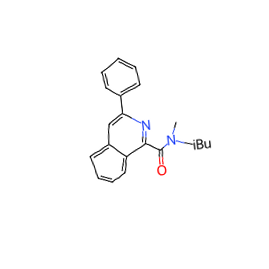 CCC(C)N(C)C(=O)c1nc(-c2ccccc2)cc2ccccc12